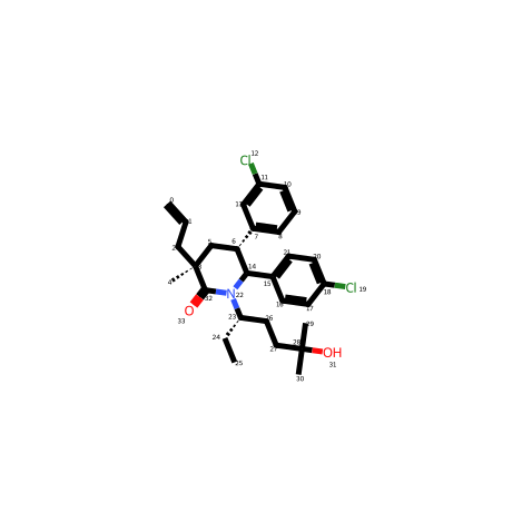 C=CC[C@@]1(C)C[C@H](c2cccc(Cl)c2)C(c2ccc(Cl)cc2)N([C@@H](CC)CCC(C)(C)O)C1=O